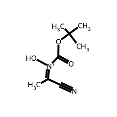 CC(C#N)=[N+](O)C(=O)OC(C)(C)C